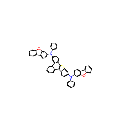 c1ccc(N(c2ccc3c(c2)oc2ccccc23)c2ccc3c(c2)sc2c4ccc(N(c5ccccc5)c5ccc6c(c5)oc5ccccc56)cc4c4ccccc4c32)cc1